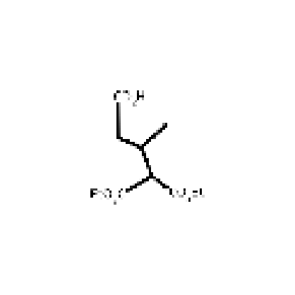 CCOC(=O)C(C(=O)OCC)C(C)CC(=O)O